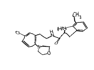 Cc1cccc2c1NC(C(=O)NCCc1cc(Cl)ccc1N1CCOCC1)C2